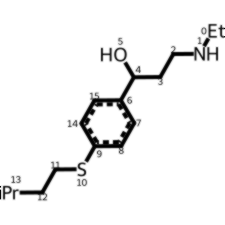 CCNCCC(O)c1ccc(SCCC(C)C)cc1